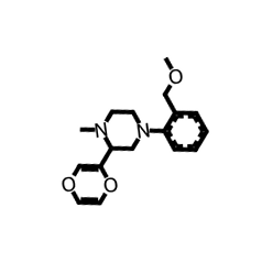 COCc1ccccc1N1CCN(C)C(C2=COC=CO2)C1